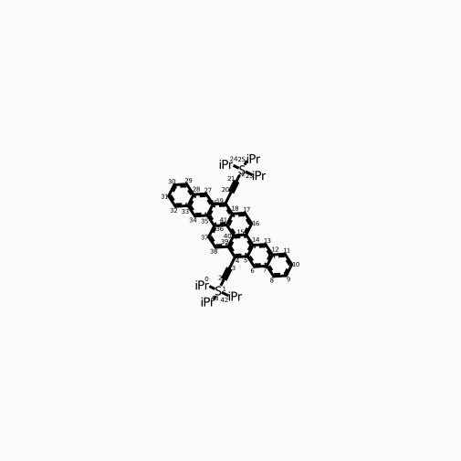 CC(C)S(C#Cc1c2cc3ccccc3cc2c2ccc3c(C#CS(C(C)C)(C(C)C)C(C)C)c4cc5ccccc5cc4c4ccc1c2c34)(C(C)C)C(C)C